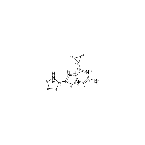 Brc1cn2cc([C@H]3CCCN3)nc2c(C2CC2)n1